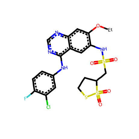 CCOc1cc2ncnc(Nc3ccc(F)c(Cl)c3)c2cc1NS(=O)(=O)CC1CCSS1(=O)=O